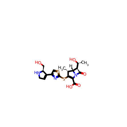 C[C@@H](O)[C@H]1C(=O)N2C(C(=O)O)=C(Sc3nc(C4=CCN[C@H]4CO)cs3)[C@H](C)[C@H]12